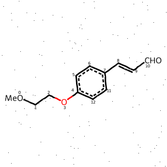 COCCOc1ccc(C=CC=O)cc1